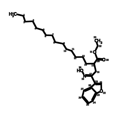 CCCCCCCCCCCCCCCC(CC(=NO)c1coc2ccccc12)C(=O)OCC